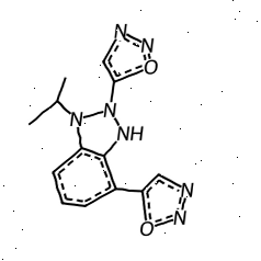 CC(C)N1c2cccc(-c3cnno3)c2NN1c1cnno1